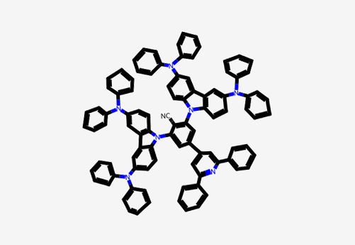 N#Cc1c(-n2c3ccc(N(c4ccccc4)c4ccccc4)cc3c3cc(N(c4ccccc4)c4ccccc4)ccc32)cc(-c2cc(-c3ccccc3)nc(-c3ccccc3)c2)cc1-n1c2ccc(N(c3ccccc3)c3ccccc3)cc2c2cc(N(c3ccccc3)c3ccccc3)ccc21